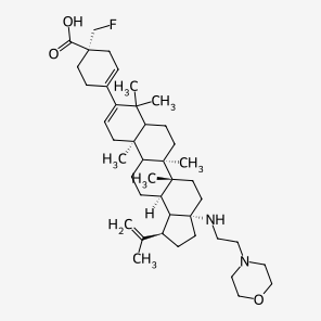 C=C(C)[C@@H]1CC[C@]2(NCCN3CCOCC3)CC[C@]3(C)[C@H](CCC4[C@@]5(C)CC=C(C6=CC[C@](CF)(C(=O)O)CC6)C(C)(C)C5CC[C@]43C)C12